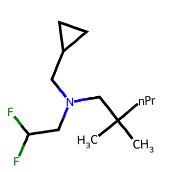 CCCC(C)(C)CN(CC(F)F)CC1CC1